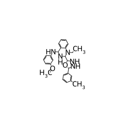 CCN1c2ccccc2C(Nc2cccc(OC)c2)NC1C1NNC(c2cccc(C)c2)O1